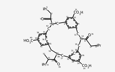 CC(C)CC(=O)N1Cc2cc(cc(C(=O)O)c2)CN(C(=O)CC(C)C)Cc2cc(cc(C(=O)O)c2)CN(C(=O)C(C)C(C)C)Cc2cc(cc(C(=O)O)c2)C1